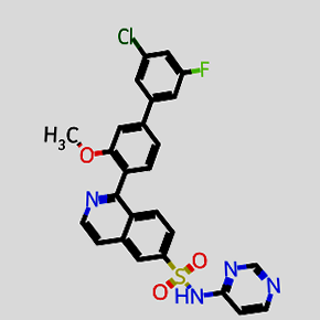 COc1cc(-c2cc(F)cc(Cl)c2)ccc1-c1nccc2cc(S(=O)(=O)Nc3ccncn3)ccc12